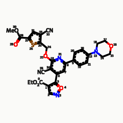 CCOC(=O)c1cnoc1-c1cc(-c2ccc(N3CCOCC3)cc2)nc(OCc2sc(C(=O)OC)cc2C#N)c1C#N